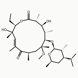 CC[C@H]1OC(=O)[C@H](C)[C@@H](O)[C@H](C)[C@@H](O[C@@H]2O[C@H](C)C[C@H](N(C)C)[C@H]2C)[C@](C)(OC)C[C@@H](C)C(=O)/C(C)=C/[C@]1(C)O